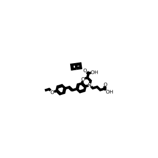 CCOc1ccc(C=Cc2ccc3c(c2)OC(C(=O)O)CN3CCCC(=O)O)cc1.c1cc2ccc1-2